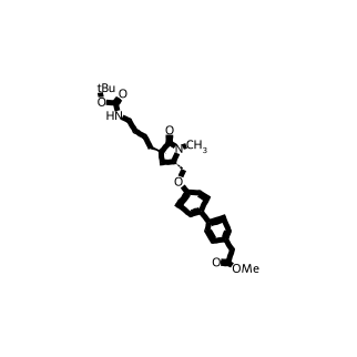 COC(=O)Cc1ccc(-c2ccc(OC[C@@H]3C[C@@H](CCCCNC(=O)OC(C)(C)C)C(=O)N3C)cc2)cc1